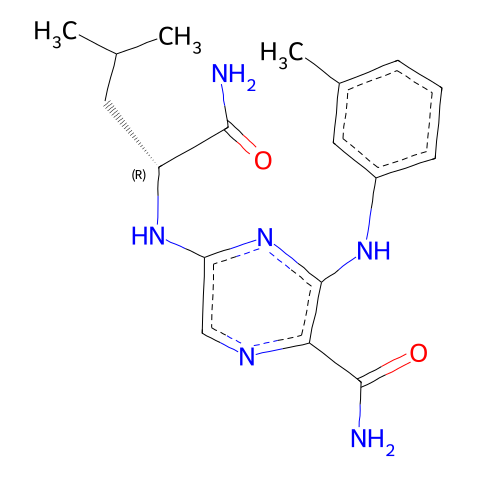 Cc1cccc(Nc2nc(N[C@H](CC(C)C)C(N)=O)cnc2C(N)=O)c1